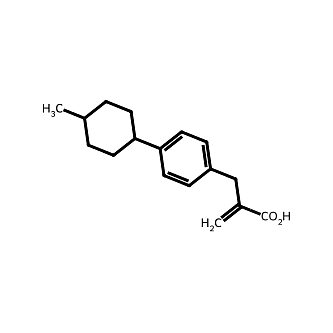 C=C(Cc1ccc(C2CCC(C)CC2)cc1)C(=O)O